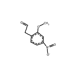 COc1cc([N+](=O)[O-])ccc1C[C]=O